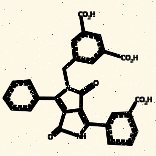 O=C1NC(c2cccc(C(=O)O)c2)=C2C(=O)N(Cc3cc(C(=O)O)cc(C(=O)O)c3)C(c3ccccc3)=C12